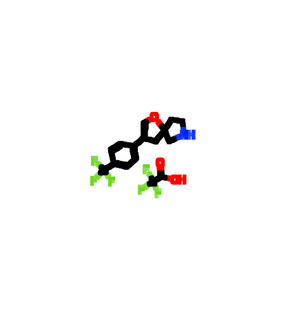 FC(F)(F)c1ccc(C2=COC3(CCNC3)C2)cc1.O=C(O)C(F)(F)F